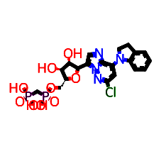 O=P(O)(O)CP(=O)(O)OC[C@H]1OC(c2cnc3c(N4CCc5ccccc54)cc(Cl)nn23)[C@H](O)[C@@H]1O